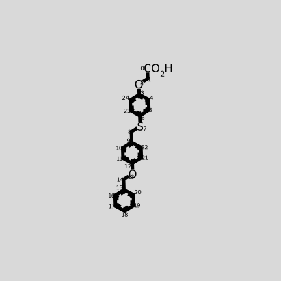 O=C(O)COc1ccc(SCc2ccc(OCc3ccccc3)cc2)cc1